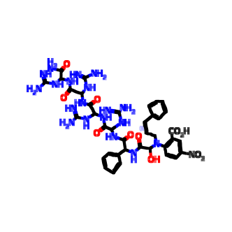 N=C(N)NC(NC(=O)C(NC(=N)N)NC(=O)C(NC(=N)N)NC(=O)C(NC(=N)N)NC(=O)C(NC(=O)C(O)N(C/C=C\c1ccccc1)c1ccc([N+](=O)[O-])cc1C(=O)O)c1ccccc1)C(N)=O